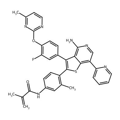 C=C(C)C(=O)Nc1ccc(-c2sc3c(-c4ccccn4)cnc(N)c3c2-c2ccc(Oc3nccc(C)n3)c(F)c2)c(C)c1